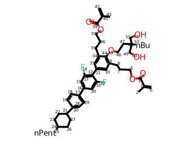 C=C(C)C(=O)OCCCc1cc(-c2c(F)cc(-c3ccc(C4CCC(CCCCC)CC4)cc3)cc2F)cc(CCCOC(=O)C(=C)C)c1OCCC(CO)(CO)CCCC